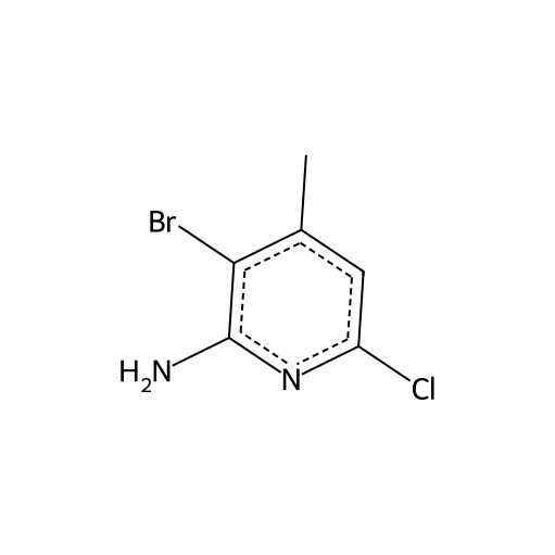 Cc1cc(Cl)nc(N)c1Br